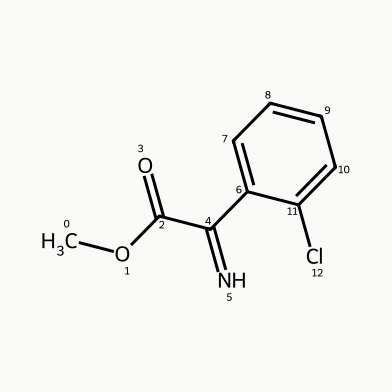 COC(=O)C(=N)c1ccccc1Cl